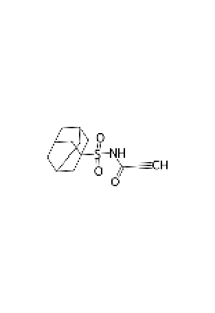 C#CC(=O)NS(=O)(=O)C12CC3CC(CC(C3)C1)C2